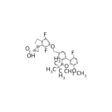 COc1ccc(F)c(-c2ccc(COc3cc(F)c4c(c3F)[C@@]3(CC4)C[C@@H]3C(=O)O)cc2[C@H](OC)C(C)(C)C)c1